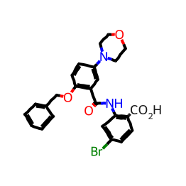 O=C(O)c1ccc(Br)cc1NC(=O)c1cc(N2CCOCC2)ccc1OCc1ccccc1